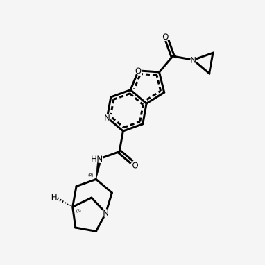 O=C(N[C@@H]1C[C@@H]2CCN(C2)C1)c1cc2cc(C(=O)N3CC3)oc2cn1